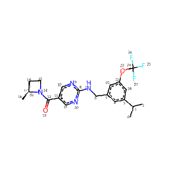 CC(C)c1cc(CNc2ncc(C(=O)N3CC[C@@H]3C)cn2)cc(OC(F)(F)F)c1